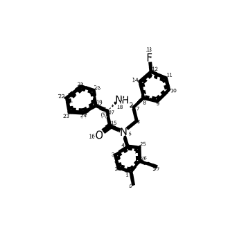 Cc1ccc(N(CCc2cccc(F)c2)C(=O)[C@@H](N)c2ccccc2)cc1C